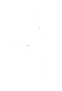 c1ccc(C2=NC(c3cccc(-n4c5ccccc5c5cc(-c6ccc7c(c6)c6ccccc6n7-c6ccccc6)ccc54)c3)=NC(c3ccncc3)N2)cc1